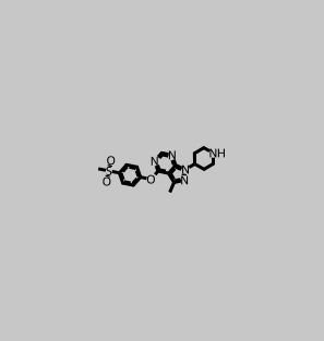 Cc1nn(C2CCNCC2)c2ncnc(Oc3ccc(S(C)(=O)=O)cc3)c12